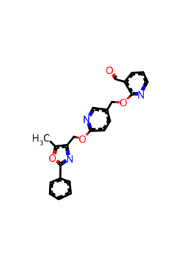 Cc1oc(-c2ccccc2)nc1COc1ccc(COc2ncccc2C=O)cn1